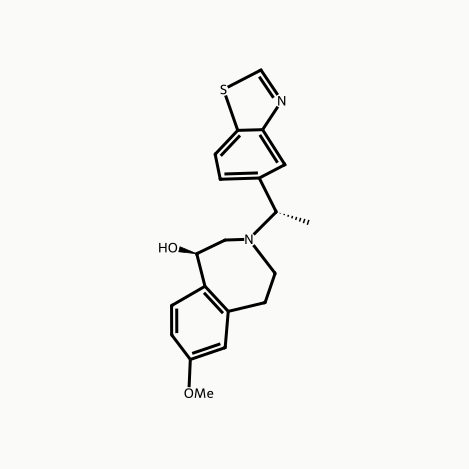 COc1ccc2c(c1)CCN([C@@H](C)c1ccc3scnc3c1)C[C@@H]2O